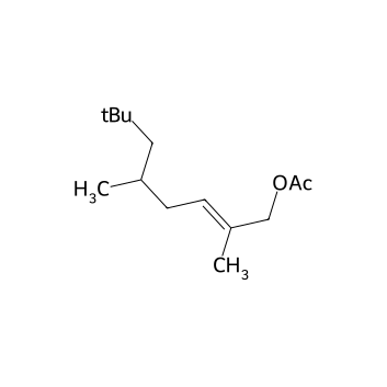 CC(=O)OCC(C)=CCC(C)CC(C)(C)C